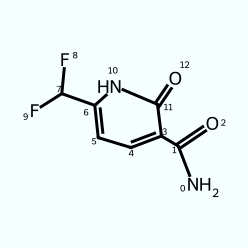 NC(=O)c1ccc(C(F)F)[nH]c1=O